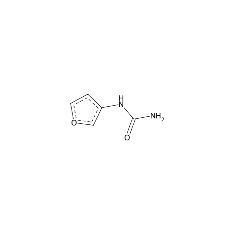 NC(=O)Nc1ccoc1